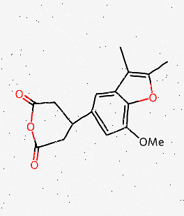 COc1cc(C2CC(=O)OC(=O)C2)cc2c(C)c(C)oc12